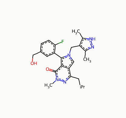 Cc1n[nH]c(C)c1Cn1cc2c(CC(C)C)nn(C)c(=O)c2c1-c1cc(CO)ccc1F